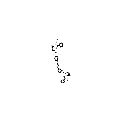 C=C(Nc1ccc(C/C=C/Cc2ccc3[nH]c([C@@H]4C[C@@H]5C[C@@H]5N4C(=O)[C@H](NC(=O)O)c4ccccc4)nc3c2)cc1N)[C@@H]1C[C@@H]2C[C@@H]2N1C(=O)[C@H](NC1OCO1)c1ccccc1